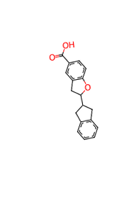 O=C(O)c1ccc2c(c1)CC(C1Cc3ccccc3C1)O2